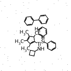 CC1=C(C)C(C)[C]([Ti]([NH]C2CCC2)[SiH](c2ccccc2)c2ccccc2)=C1C.c1ccc(-c2ccccc2)cc1